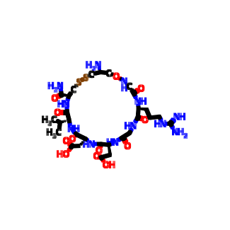 CC(C)[C@H]1NC(=O)[C@@H](CC(=O)O)NC(=O)[C@H](CC(=O)O)NC(=O)CNC(=O)[C@H](CCCNC(=N)N)NC(=O)CNOC[C@H](N)CSSC[C@H](C(N)=O)NC1=O